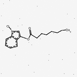 CCCCCCCC(=O)Oc1cn(Cl)c2ccccc12